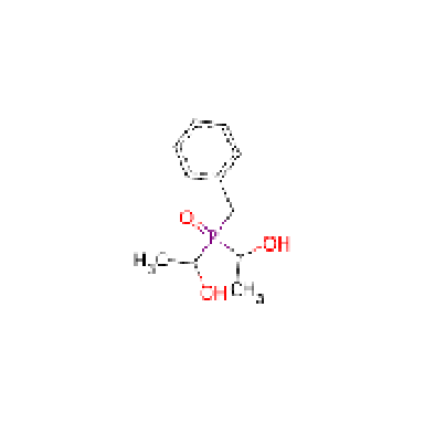 CC(O)P(=O)(Cc1ccccc1)C(C)O